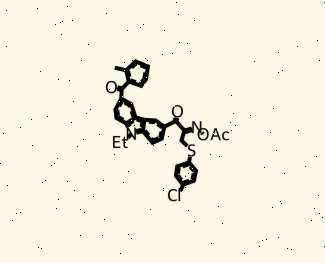 CCn1c2ccc(C(=O)/C(CSc3ccc(Cl)cc3)=N/OC(C)=O)cc2c2cc(C(=O)c3ccccc3C)ccc21